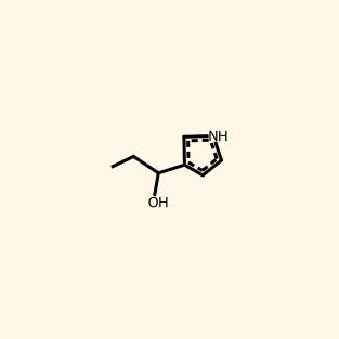 CCC(O)c1cc[nH]c1